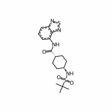 CC(C)(C)S(=O)(=O)N[C@H]1CC[C@H](C(=O)Nc2cccc3nsnc23)CC1